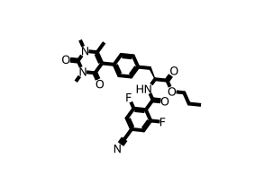 CCCOC(=O)[C@H](Cc1ccc(-c2c(C)n(C)c(=O)n(C)c2=O)cc1)NC(=O)c1c(F)cc(C#N)cc1F